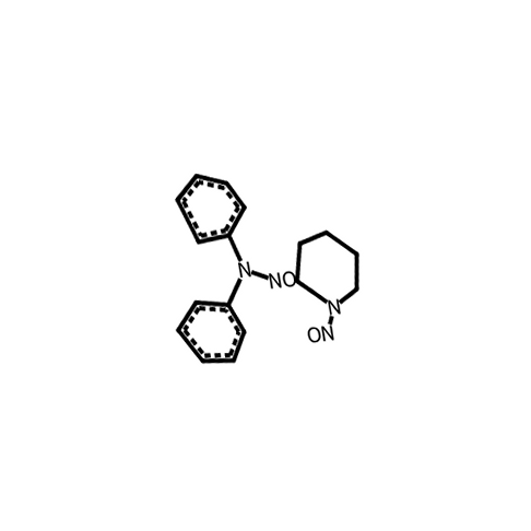 O=NN(c1ccccc1)c1ccccc1.O=NN1CCCCC1